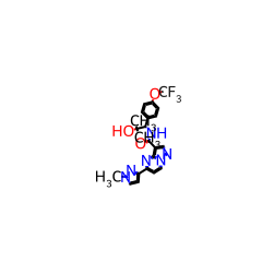 Cn1ccc(-c2ccn3ncc(C(=O)N[C@@H](c4ccc(OC(F)(F)F)cc4)C(C)(C)O)c3n2)n1